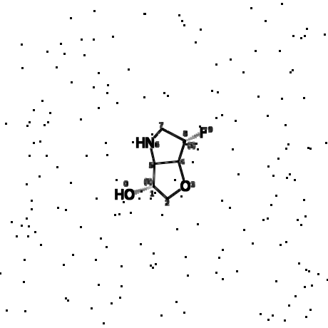 O[C@H]1COC2C1NC[C@@H]2F